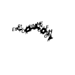 CCN(CC)CCOc1ccc(-c2cc3c(Oc4ccc(NC(=O)NC5CC5)c(F)c4)ncnc3[nH]2)cc1